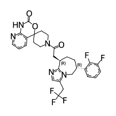 O=C1Nc2ncccc2C2(CCN(C(=O)C[C@H]3CC[C@H](c4cccc(F)c4F)Cn4c(CC(F)(F)F)cnc43)CC2)O1